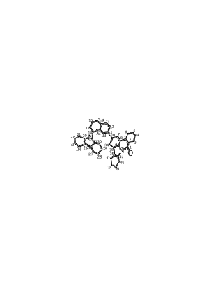 O=c1c2ccccc2c2cc(-c3ccc4cccc(-n5c6ccccc6c6ccccc65)c4c3)cc3c4ccccc4n1c23